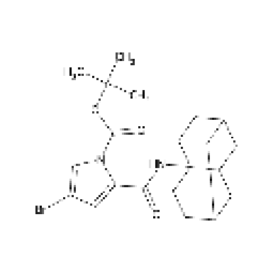 CC(C)(C)OC(=O)n1cc(Br)cc1C(=O)NC12CCC3CC(CC1)CC2C3